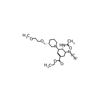 CCOC(=O)C1=C[C@@H](N2CCC[C@@H](COCCOC)C2)[C@H](NC(C)=O)C(N=[N+]=[N-])C1